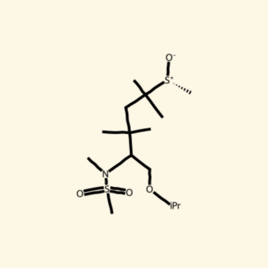 CC(C)OCC(N(C)S(C)(=O)=O)C(C)(C)CC(C)(C)[S@@+](C)[O-]